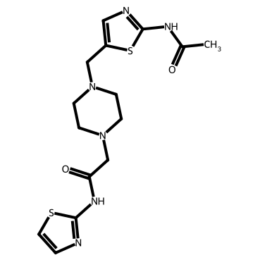 CC(=O)Nc1ncc(CN2CCN(CC(=O)Nc3nccs3)CC2)s1